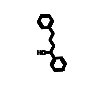 OC(CCCc1ccccc1)c1cc[c]cc1